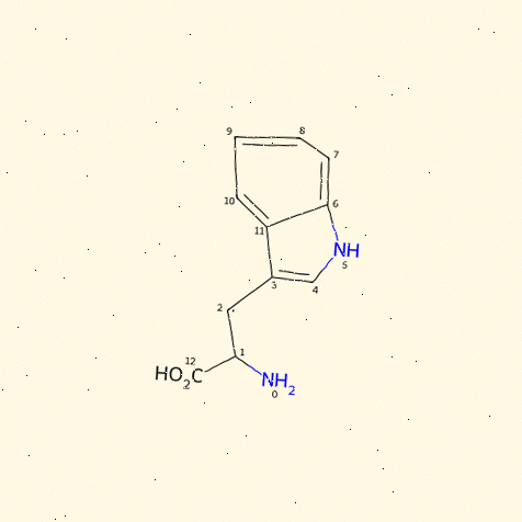 NC([CH]c1c[nH]c2ccccc12)C(=O)O